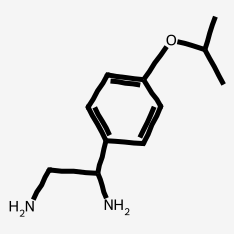 CC(C)Oc1ccc(C(N)CN)cc1